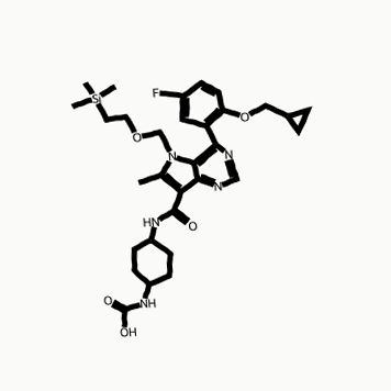 Cc1c(C(=O)NC2CCC(NC(=O)O)CC2)c2ncnc(-c3cc(F)ccc3OCC3CC3)c2n1COCC[Si](C)(C)C